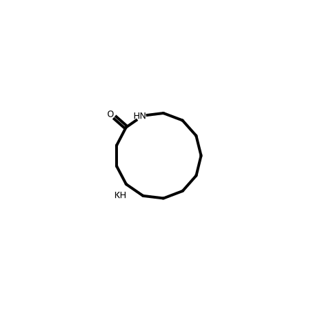 O=C1CCCCCCCCCCCN1.[KH]